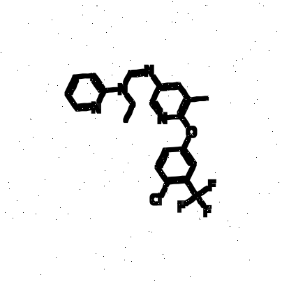 CCN(/C=N\c1cnc(Oc2ccc(Cl)c(C(F)(F)F)c2)c(C)c1)c1ccccn1